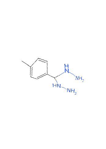 Cc1ccc(C(NN)NN)cc1